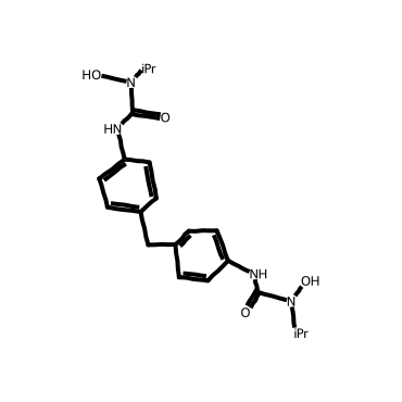 CC(C)N(O)C(=O)Nc1ccc(Cc2ccc(NC(=O)N(O)C(C)C)cc2)cc1